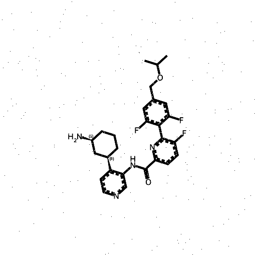 CC(C)OCc1cc(F)c(-c2nc(C(=O)Nc3cnccc3[C@@H]3CCC[C@H](N)C3)ccc2F)c(F)c1